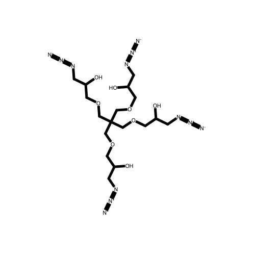 [N-]=[N+]=NCC(O)COCC(COCC(O)CN=[N+]=[N-])(COCC(O)CN=[N+]=[N-])COCC(O)CN=[N+]=[N-]